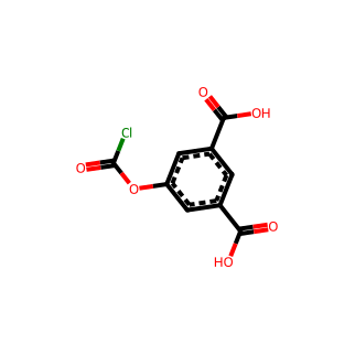 O=C(Cl)Oc1cc(C(=O)O)cc(C(=O)O)c1